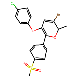 CC1OC(c2ccc(S(C)(=O)=O)cc2)=C(Oc2ccc(Cl)cc2)C=C1Br